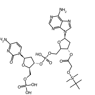 CC(C)(C)[Si](C)(C)OCC(=O)O[C@H]1C[C@H](n2cnc3c(N)ncnc32)OC1COP(=O)(O)O[C@H]1C[C@H](n2ccc(N)nc2=O)O[C@@H]1COP(=O)(O)O